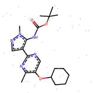 Cc1nc(-c2cnn(C)c2NC(=O)OC(C)(C)C)ncc1OC1CCCCC1